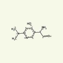 CN(C)c1ccc(C(N)C=O)cn1.Cl